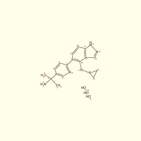 CC(C)(N)c1ccc(-c2ccc3[nH]ncc3c2OC2CC2)nc1.Cl.Cl.Cl